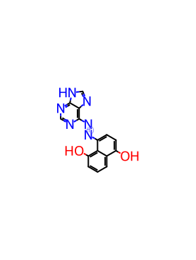 Oc1ccc(/N=N/c2ncnc3[nH]cnc23)c2c(O)cccc12